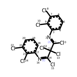 Cl/C(=N\c1cccc(Cl)c1Cl)C(Cl)(Cl)/C(Cl)=N\c1cccc(Cl)c1Cl